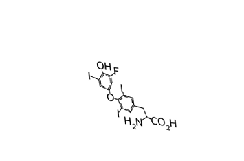 N[C@@H](Cc1cc(I)c(Oc2cc(F)c(O)c(I)c2)c(I)c1)C(=O)O